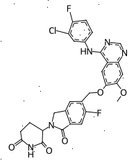 COc1cc2ncnc(Nc3ccc(F)c(Cl)c3)c2cc1OCc1cc2c(cc1F)C(=O)N(C1CCC(=O)NC1=O)C2